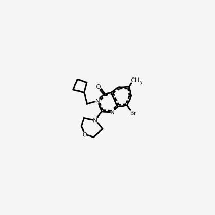 Cc1cc(Br)c2nc(N3CCOCC3)n(CC3CCC3)c(=O)c2c1